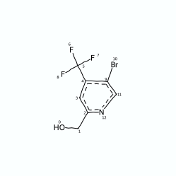 OCc1cc(C(F)(F)F)c(Br)cn1